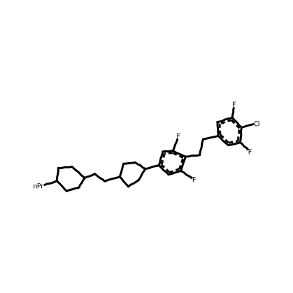 CCCC1CCC(CCC2CCC(c3cc(F)c(CCc4cc(F)c(Cl)c(F)c4)c(F)c3)CC2)CC1